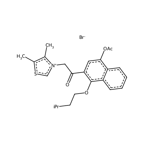 CC(=O)Oc1cc(C(=O)C[n+]2csc(C)c2C)c(OCCC(C)C)c2ccccc12.[Br-]